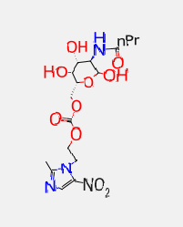 CCCC(=O)N[C@H]1C(O)O[C@H](COC(=O)OCCn2c([N+](=O)[O-])cnc2C)[C@@H](O)[C@@H]1O